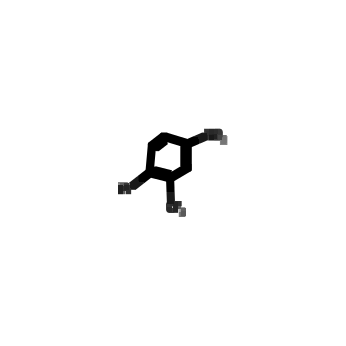 CC(C)c1ccc([N+](=O)[O-])cc1C(F)(F)F